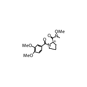 COc1ccc(C(=O)N2CCC[C@@H]2C(=O)N(C)OC)cc1OC